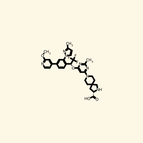 COc1cc(-c2ccc([C@@H](Oc3cc(N4CCC5(CC4)CN[C@H](C(=O)O)C5)nc(C)n3)C(F)(F)F)c(-n3ccc(C)n3)c2)ccn1